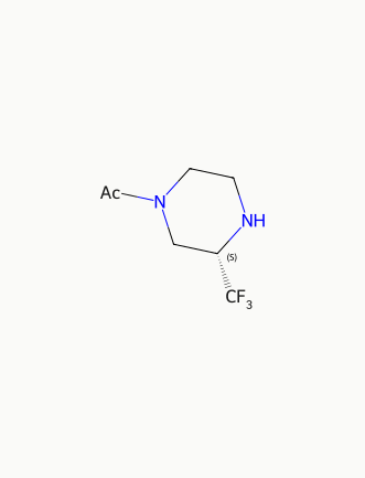 CC(=O)N1CCN[C@H](C(F)(F)F)C1